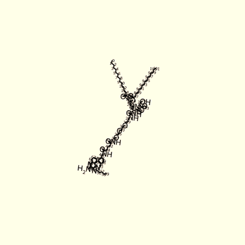 CCCCCCCCCCCCCCCC(=O)OC[C@H](CSCC(NC(=O)NCCCOCCOCCOCNC(=O)CCCC(=O)NCc1ccc(Cn2c(CCCC)nc3c(N)nc4ccccc4c32)cc1)C(=O)N[C@@H](CO)C(=O)OC)OC(=O)CCCCCCCCCCCCCCC